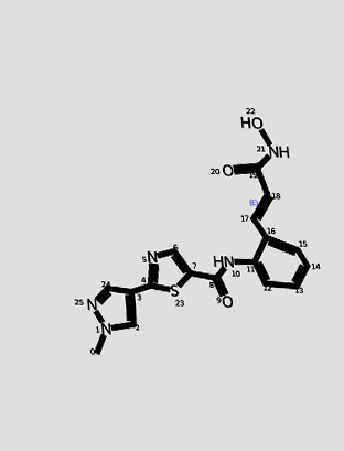 Cn1cc(-c2ncc(C(=O)Nc3ccccc3/C=C/C(=O)NO)s2)cn1